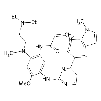 C=CC(=O)Nc1cc(Nc2nccc(-c3cnc4c(ccn4C)c3)n2)c(OC)cc1N(C)CCN(CC)CC